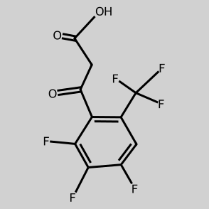 O=C(O)CC(=O)c1c(C(F)(F)F)cc(F)c(F)c1F